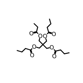 CCCC(=O)OCC(COC(=O)CC)(COC(=O)CCC)COC(=O)CCC